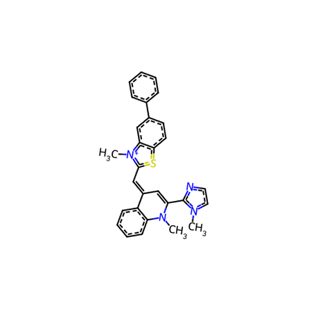 CN1C(c2nccn2C)=CC(=Cc2sc3ccc(-c4ccccc4)cc3[n+]2C)c2ccccc21